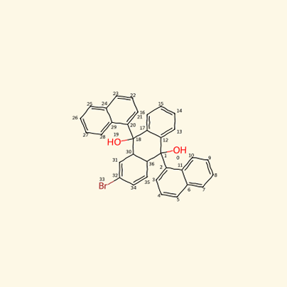 OC1(c2cccc3ccccc23)c2ccccc2C(O)(c2cccc3ccccc23)C2C=C(Br)C=CC21